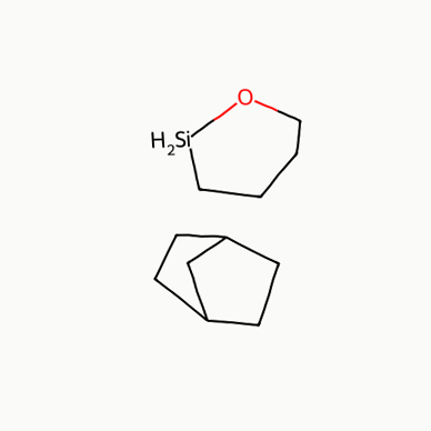 C1CC2CCC1C2.C1CC[SiH2]OC1